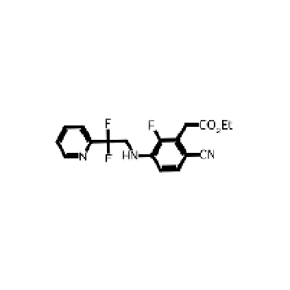 CCOC(=O)Cc1c(C#N)ccc(NCC(F)(F)c2ccccn2)c1F